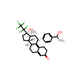 C[C@H](O)c1ccc([C@H]2C[C@@]3(C)[C@@H](CC[C@@]3(O)C(F)(F)C(F)(F)F)[C@@H]3CCC4=CC(=O)CCC4=C32)cc1